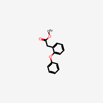 CCCOC(=O)Cc1ccccc1Oc1ccccc1